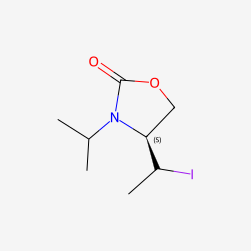 CC(I)[C@@H]1COC(=O)N1C(C)C